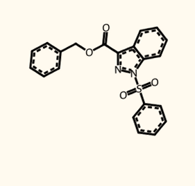 O=C(OCc1ccccc1)c1nn(S(=O)(=O)c2ccccc2)c2ccccc12